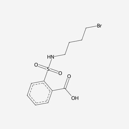 O=C(O)c1ccccc1S(=O)(=O)NCCCCBr